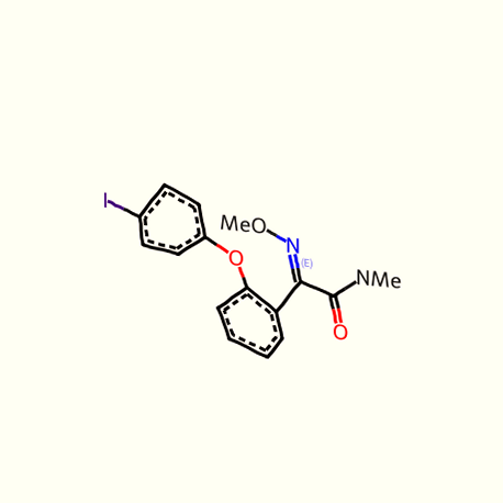 CNC(=O)/C(=N/OC)c1ccccc1Oc1ccc(I)cc1